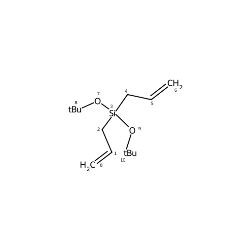 C=CC[Si](CC=C)(OC(C)(C)C)OC(C)(C)C